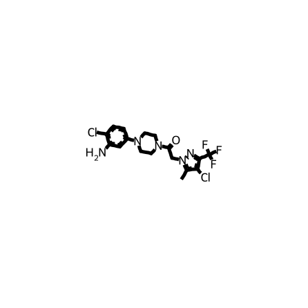 Cc1c(Cl)c(C(F)(F)F)nn1CC(=O)N1CCN(c2ccc(Cl)c(N)c2)CC1